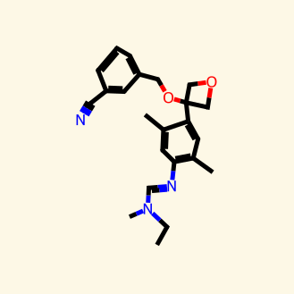 CCN(C)C=Nc1cc(C)c(C2(OCc3cccc(C#N)c3)COC2)cc1C